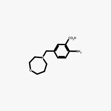 Nc1ccc(CN2CCCOCC2)cc1C(=O)O